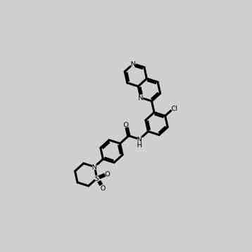 O=C(Nc1ccc(Cl)c(-c2ccc3cnccc3n2)c1)c1ccc(N2CCCCS2(=O)=O)cc1